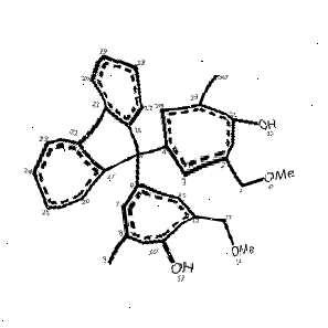 COCc1cc(C2(c3cc(C)c(O)c(COC)c3)c3ccccc3-c3ccccc32)cc(C)c1O